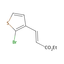 CCOC(=O)C=Cc1ccsc1Br